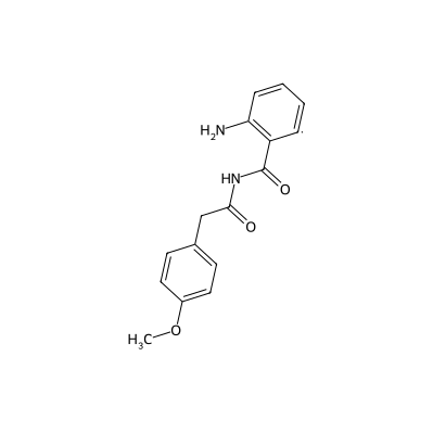 COc1ccc(CC(=O)NC(=O)c2[c]cccc2N)cc1